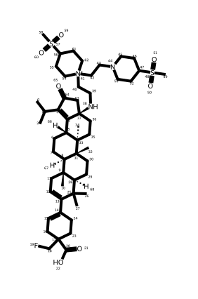 CC(C)C1=C2[C@H]3CC[C@@H]4[C@@]5(C)CC=C(C6=CCC(CF)(C(=O)O)CC6)C(C)(C)[C@@H]5CC[C@@]4(C)[C@]3(C)CC[C@@]2(NCC[N+]2(CCN3CCC(S(C)(=O)=O)CC3)CCC(S(C)(=O)=O)CC2)CC1=O